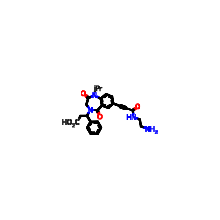 CC(C)N1C(=O)CN(C(CC(=O)O)c2ccccc2)C(=O)c2cc(C#CC(=O)NCCN)ccc21